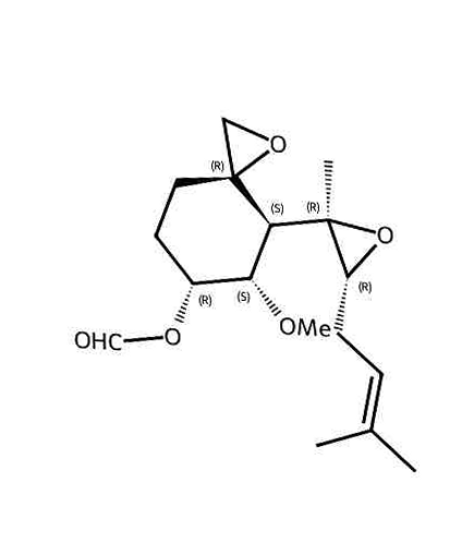 CO[C@@H]1[C@H](OC=O)CC[C@]2(CO2)[C@H]1[C@@]1(C)O[C@@H]1CC=C(C)C